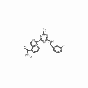 CCc1nc(NCc2cccc(F)c2)nc(-c2ncc3c(C(N)=O)cccn23)n1